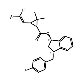 CC1(C)C(/C=C(\Cl)C(F)(F)F)C1C(=O)O[C@@H]1C[C@@H](Cc2ccc(F)cc2)c2ccccc21